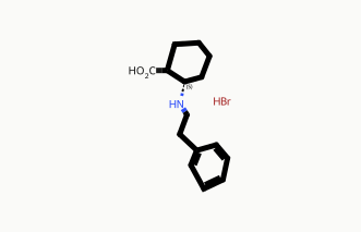 Br.O=C(O)C1CCCC[C@@H]1NCCc1ccccc1